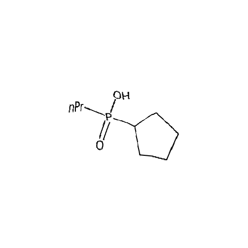 CCCP(=O)(O)C1CCCC1